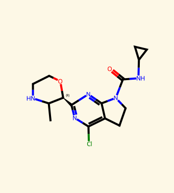 CC1NCCO[C@H]1c1nc(Cl)c2c(n1)N(C(=O)NC1CC1)CC2